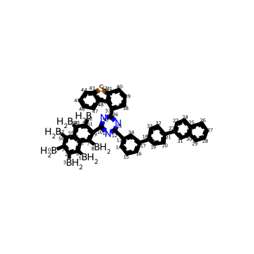 Bc1c(B)c(B)c2c(B)c(-c3nc(-c4cccc(-c5ccc(-c6ccc7ccccc7c6)cc5)c4)nc(-c4cccc5sc6ccccc6c45)n3)c(B)c(B)c2c1B